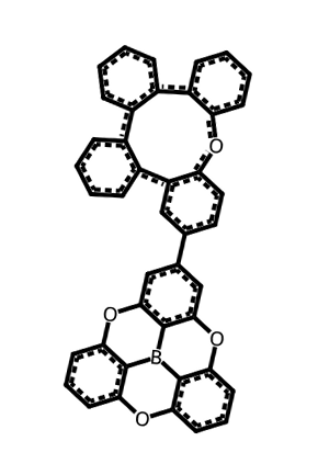 c1cc2c3c(c1)Oc1cc(-c4ccc5oc6ccccc6c6ccccc6c6ccccc6c5c4)cc4c1B3c1c(cccc1O4)O2